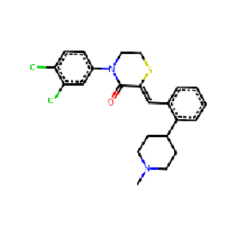 CN1CCC(c2ccccc2C=C2SCCN(c3ccc(Cl)c(Cl)c3)C2=O)CC1